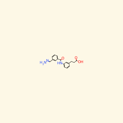 NN=Cc1cccc(C(=O)Nc2cccc(CCC(=O)O)c2)c1